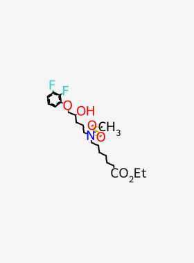 CCOC(=O)CCCCCCN(CCCC(O)COc1cccc(F)c1F)S(C)(=O)=O